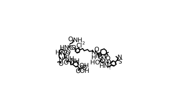 CC(=O)N1CC[C@H]2CC[C@@H](C(=O)N[C@@H](CCC(N)=O)COc3cccc(CCCCCNC(=O)c4noc5c4CCCC(C)(C)[C@H]5C(=O)N4C[C@H](O)C[C@H]4C(=O)N[C@@H](C)c4ccc(-c5scnc5C)cc4)c3Cl)N2C(=O)[C@@H](NC(=O)c2cc3cc(C(=O)P(=O)(O)O)ccc3[nH]2)C1